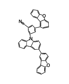 N#Cc1cc(-c2cccc3oc4ccccc4c23)cc(-n2c3ccccc3c3cc(-c4ccc5oc6ccccc6c5c4)ccc32)c1